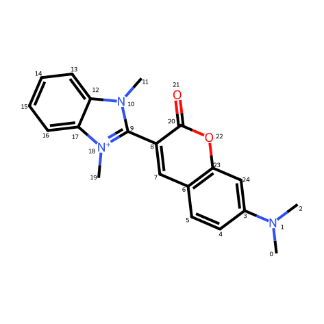 CN(C)c1ccc2cc(-c3n(C)c4ccccc4[n+]3C)c(=O)oc2c1